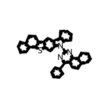 c1ccc(-c2nc(-n3c4ccccc4c4cc5c(cc43)sc3c4ccccc4ccc53)nc3c2ccc2ccccc23)cc1